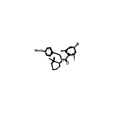 COc1ccc(CN(C(=O)c2c(C)cc(Br)cc2I)C2CCCCC2(C)C)cc1